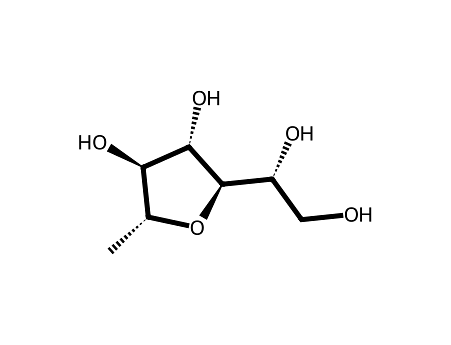 C[C@H]1O[C@H]([C@H](O)CO)[C@@H](O)[C@@H]1O